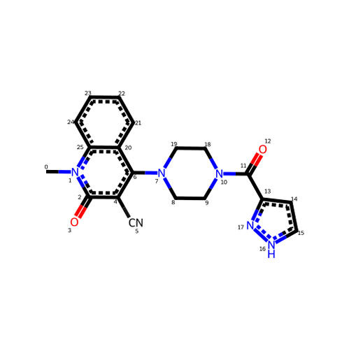 Cn1c(=O)c(C#N)c(N2CCN(C(=O)c3cc[nH]n3)CC2)c2ccccc21